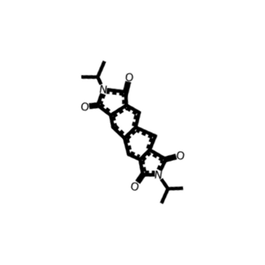 CC(C)n1c(=O)c2cc3cc4c(=O)n(C(C)C)c(=O)c4cc3cc2c1=O